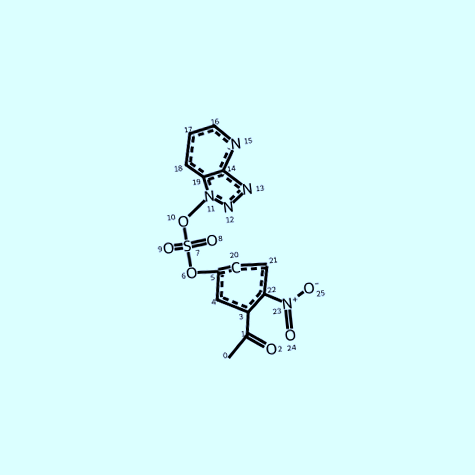 CC(=O)c1cc(OS(=O)(=O)On2nnc3ncccc32)ccc1[N+](=O)[O-]